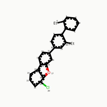 CCc1ccccc1-c1ccc(-c2ccc3c(c2)oc2c(Cl)cccc23)cc1CC